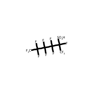 O=S(=O)(O)C(F)(C(F)(F)F)C(F)(F)C(F)(F)C(F)(F)C(F)(F)F